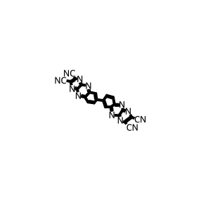 N#Cc1nc2nc3ccc(-c4ccc5nc6nc(C#N)c(C#N)nc6nc5c4)cc3nc2nc1C#N